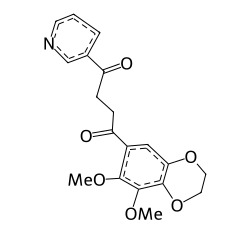 COc1c(C(=O)CCC(=O)c2cccnc2)cc2c(c1OC)OCCO2